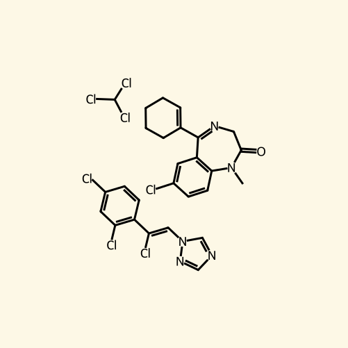 CN1C(=O)CN=C(C2=CCCCC2)c2cc(Cl)ccc21.Cl/C(=C\n1cncn1)c1ccc(Cl)cc1Cl.ClC(Cl)Cl